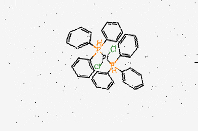 [Cl][Pt]([Cl])([PH](c1ccccc1)(c1ccccc1)c1ccccc1)[PH](c1ccccc1)(c1ccccc1)c1ccccc1